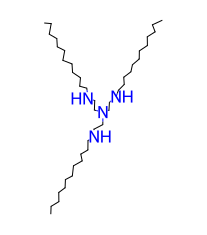 CCCCCCCCCCCCNCCN(CCNCCCCCCCCCCCC)CCNCCCCCCCCCCCC